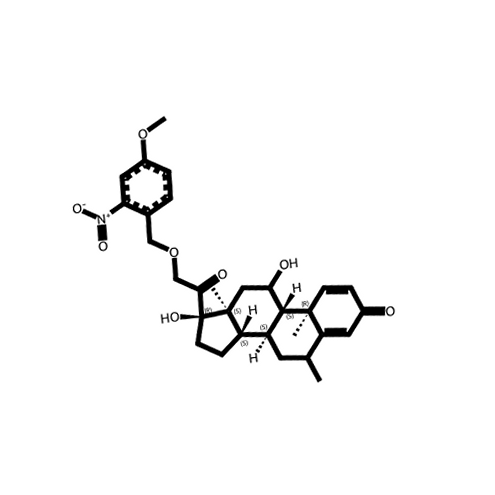 COc1ccc(COCC(=O)[C@@]2(O)CC[C@H]3[C@@H]4CC(C)C5=CC(=O)C=C[C@]5(C)[C@H]4C(O)C[C@@]32C)c([N+](=O)[O-])c1